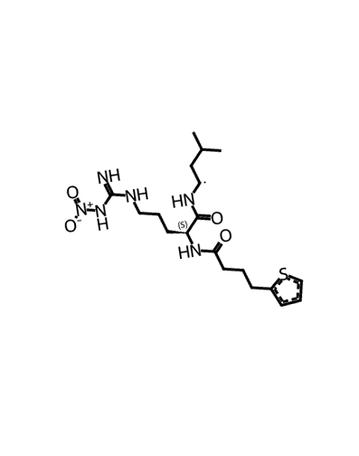 CC(C)C[CH]NC(=O)[C@H](CCCNC(=N)N[N+](=O)[O-])NC(=O)CCCc1cccs1